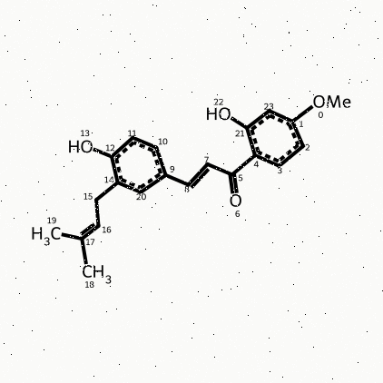 COc1ccc(C(=O)/C=C/c2ccc(O)c(CC=C(C)C)c2)c(O)c1